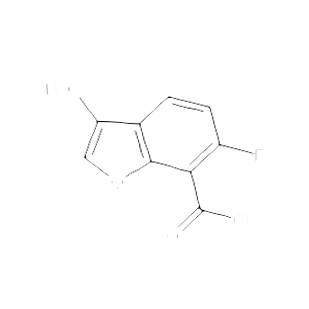 Cc1coc2c(C(=O)O)c(F)ccc12